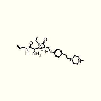 C=CCNC(=O)[C@@H](N)C1S[C@H](CNc2ccc(CCN3CCN(C)CC3)cc2)C(=O)N1CC